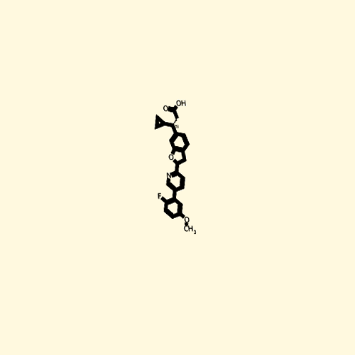 COc1ccc(F)c(-c2ccc(C3Cc4ccc([C@@H](CC(=O)O)C5CC5)cc4O3)nc2)c1